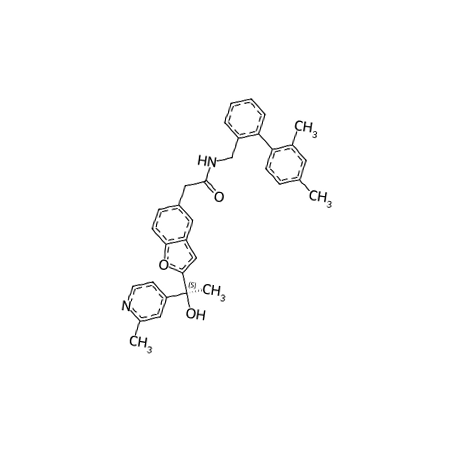 Cc1ccc(-c2ccccc2CNC(=O)Cc2ccc3oc([C@@](C)(O)c4ccnc(C)c4)cc3c2)c(C)c1